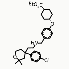 CCOC(=O)[C@H]1CC[C@H](Oc2ccc(CNCCC3(c4ccc(Cl)cc4)CCOC(C)(C)C3)cc2)CC1